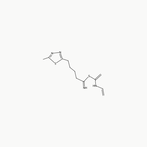 C=CNC(=C)SC(=N)CCCCc1nnc(C)s1